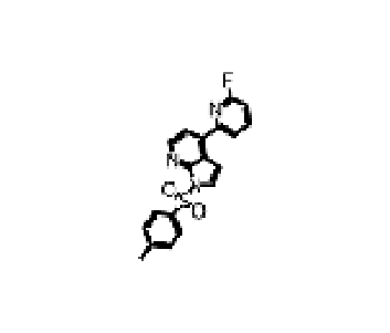 Cc1ccc(S(=O)(=O)n2ccc3c(-c4cccc(F)n4)ccnc32)cc1